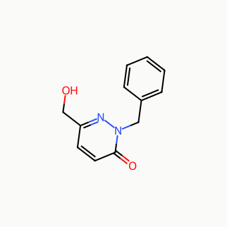 O=c1ccc(CO)nn1Cc1ccccc1